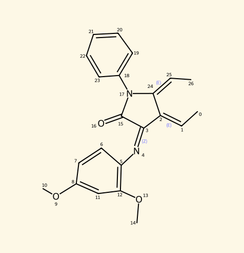 C/C=C1C(=N/c2ccc(OC)cc2OC)/C(=O)N(c2ccccc2)C/1=C/C